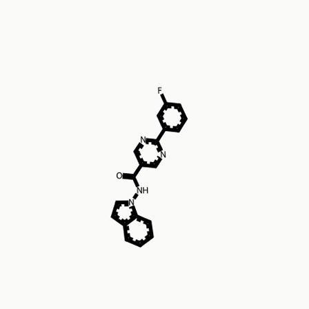 O=C(Nn1ccc2ccccc21)c1cnc(-c2cccc(F)c2)nc1